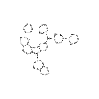 c1ccc(-c2ccc(N(c3cccc(-c4ccccc4)c3)c3ccc4c(c3)c3c5ccccc5ccc3n4-c3ccc4ccccc4c3)cc2)cc1